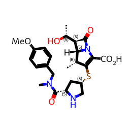 COc1ccc(CN(C)C(=O)[C@@H]2C[C@H](SC3=C(C(=O)O)N4C(=O)[C@H]([C@@H](C)O)[C@H]4[C@H]3C)CN2)cc1